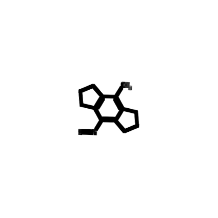 Cc1c2c(c(N=S)c3c1CCC3)CCC2